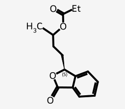 CCC(=O)OC(C)CC[C@@H]1OC(=O)c2ccccc21